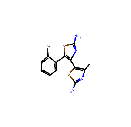 CCc1ccccc1-c1sc(N)nc1-c1sc(N)nc1C